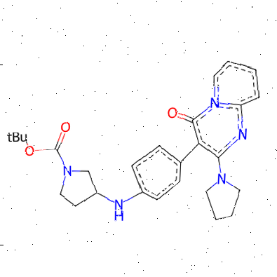 CC(C)(C)OC(=O)N1CCC(Nc2ccc(-c3c(N4CCCC4)nc4ccccn4c3=O)cc2)C1